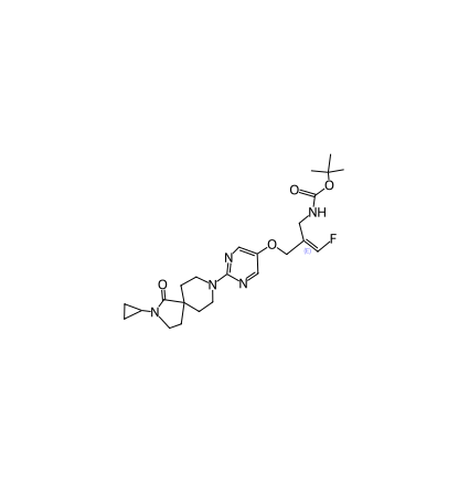 CC(C)(C)OC(=O)NC/C(=C\F)COc1cnc(N2CCC3(CC2)CCN(C2CC2)C3=O)nc1